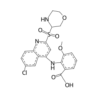 COc1cccc(C(=O)O)c1Nc1cc(S(=O)(=O)C2COCCN2)nc2ccc(Cl)cc12